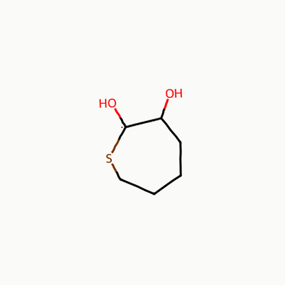 O[C]1SCCCCC1O